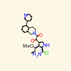 C=C/C(OC)=c1/c(C(=O)C(=O)N2CCc3c(cccc3-c3cccnc3)C2)c[nH]/c1=C(/N)Cl